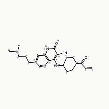 C=CC(=O)C1CCC(Nc2c(C#N)c(=O)[nH]c3cc(CCCN(C)C)ccc23)CC1